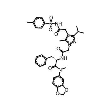 Cc1ccc(S(=O)(=O)NC(=O)Cc2c(C(C)C)nn(CC(=O)N[C@@H](Cc3ccccc3)C(=O)N(C)c3ccc4c(c3)OCO4)c2C)cc1